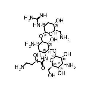 N=C(N)N[C@@H]1C[C@H](O)[C@@H](CN)O[C@@H]1OC1[C@@H](N)C[C@@H](NC(=O)N(O)CCN)[C@H](O[C@H]2O[C@H](CO)[C@@H](O)[C@H](N)[C@H]2O)[C@H]1O